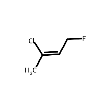 CC(Cl)=CCF